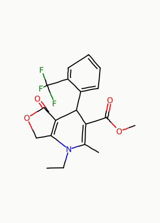 CCN1C(C)=C(C(=O)OC)C(c2ccccc2C(F)(F)F)C2=C1COC2=O